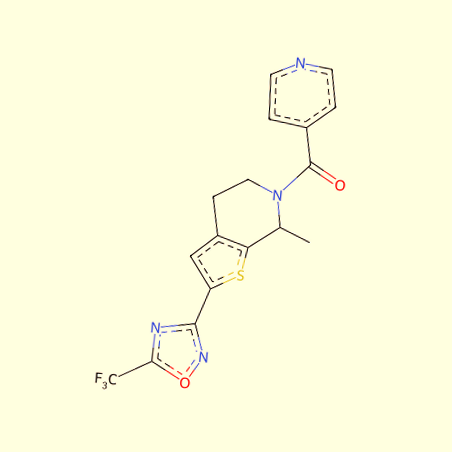 CC1c2sc(-c3noc(C(F)(F)F)n3)cc2CCN1C(=O)c1ccncc1